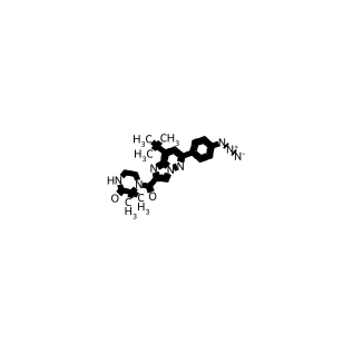 CC(C)(C)c1cc(-c2ccc(N=[N+]=[N-])cc2)nn2cc(C(=O)N3CCNC(=O)C3(C)C)nc12